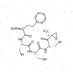 CC(=O)N[C@@H](CCc1ccccc1)C(=O)N[C@@H](CC(C)C)C(=O)N[C@@H](CO)C(=O)N[C@@H](CC(C)C)C(=O)[C@@]1(C)CO1